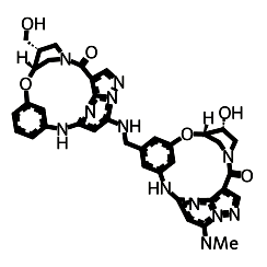 CNc1cc2nc3c(cnn13)C(=O)N1C[C@@H](O)[C@H](C1)Oc1cc(CNc3cc4nc5c(cnn35)C(=O)N3C[C@@H](CO)[C@H](C3)Oc3cccc(c3)N4)cc(c1)N2